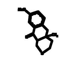 COc1ccc2c(c1)C(=O)C1COCCC1(C)C2